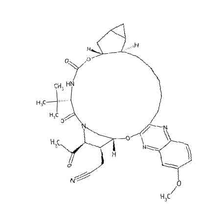 COc1ccc2nc3c(nc2c1)O[C@H]1CN(C(=O)[C@H](C(C)(C)C)NC(=O)O[C@@H]2CC4CC4[C@H]2CCCCC3)[C@H](C(C)=O)[C@@H]1CC#N